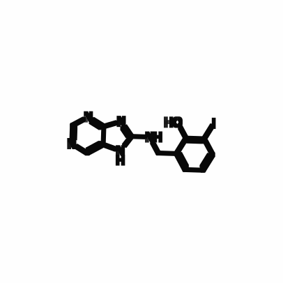 Oc1c(I)cccc1CNc1nc2ncncc2[nH]1